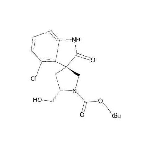 CC(C)(C)OC(=O)N1C[C@]2(C[C@H]1CO)C(=O)Nc1cccc(Cl)c12